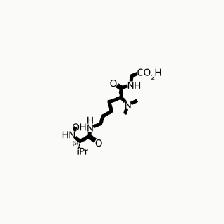 CC(C)[C@H](NO)C(=O)NCCCCC(C(=O)NCC(=O)O)N(C)C